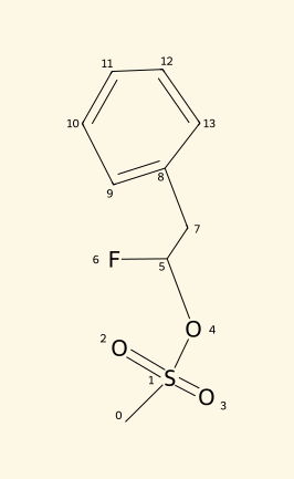 CS(=O)(=O)OC(F)Cc1ccccc1